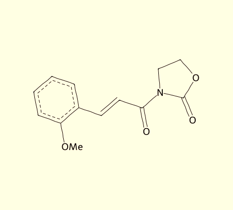 COc1ccccc1/C=C/C(=O)N1CCOC1=O